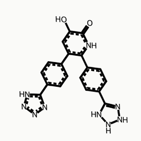 O=c1[nH]c(-c2ccc(C3=NNNN3)cc2)c(-c2ccc(-c3nnn[nH]3)cc2)cc1O